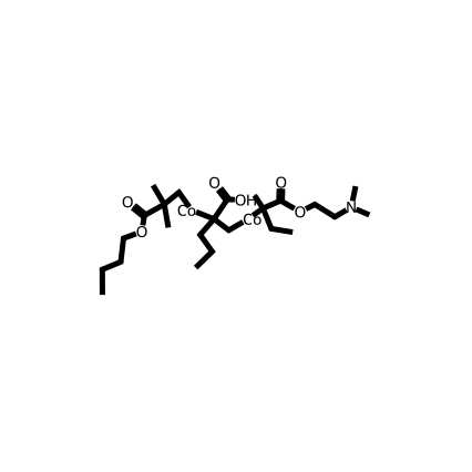 CCCCOC(=O)C(C)(C)[CH2][Co][C](CCC)([CH2][Co][C](C)(CC)C(=O)OCCN(C)C)C(=O)O